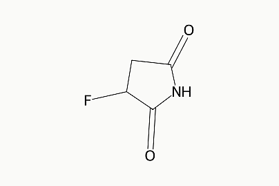 O=C1CC(F)C(=O)N1